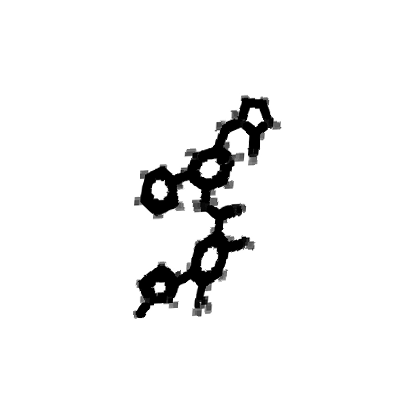 Cn1ccc(-c2cc(C(=O)Nc3cnc(CN4CCOC4=O)nc3-c3ccccc3)c(F)cc2C(F)(F)F)n1